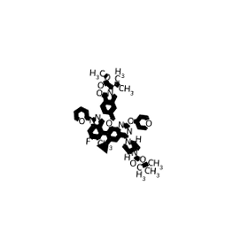 COC(=O)[C@H](C(C)C)N1Cc2cc(COc3c(-c4c(C)c(F)cc5c4cnn5C4CCCCO4)c(C4CC4)cc4c(N5C[C@@H]6C[C@H]5CN6C(=O)OC(C)(C)C)nc(OC5CCOCC5)nc34)ccc2C1=O